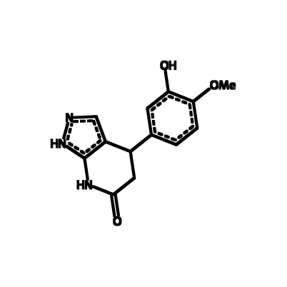 COc1ccc(C2CC(=O)Nc3[nH]ncc32)cc1O